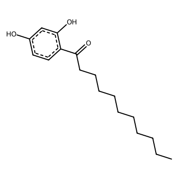 CCCCCCCCCCC(=O)c1ccc(O)cc1O